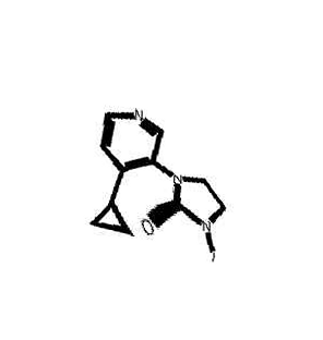 O=C1N(I)CCN1c1cnccc1C1CC1